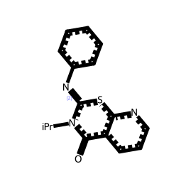 CC(C)n1c(=O)c2cccnc2s/c1=N\c1ccccc1